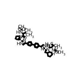 COC(=O)N[C@H](C(=O)N1C2CCC(C2)[C@H]1c1nc(-c2ccc(-c3ccc(-c4c[nH]c([C@@H]5CC6CCCCC6N5C(=O)[C@@H](NC(=O)OC)C(C)C)n4)cc3)cc2)c[nH]1)C(C)C